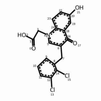 O=C(O)Cn1cc(Cc2cccc(Cl)c2Cl)c(=O)c2cc(O)ccc21